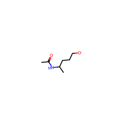 CC(=O)NC(C)CCC[O]